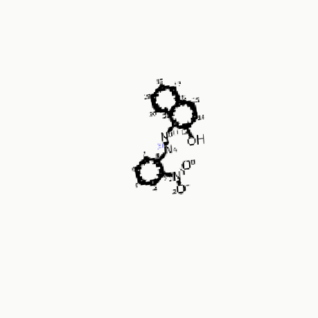 O=[N+]([O-])c1ccccc1/N=N/c1c(O)ccc2ccccc12